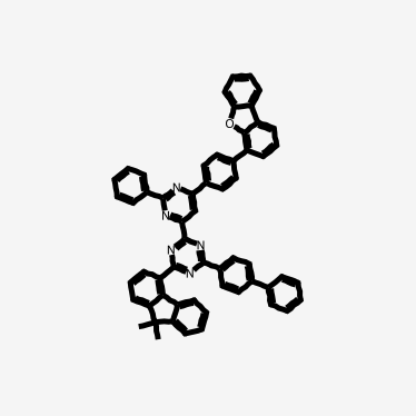 CC1(C)c2ccccc2-c2c(-c3nc(-c4ccc(-c5ccccc5)cc4)nc(-c4cc(-c5ccc(-c6cccc7c6oc6ccccc67)cc5)nc(-c5ccccc5)n4)n3)cccc21